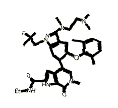 CCNC(=O)c1cc2c(-c3cc4c(cc3Oc3c(C)cccc3C)c(N(C)CCN(C)C)nn4CC(C)(C)F)cn(C)c(=O)c2[nH]1